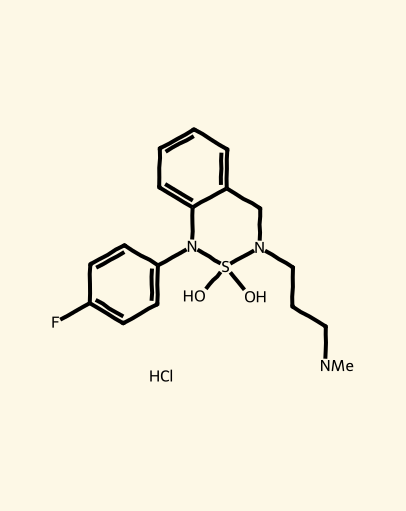 CNCCCN1Cc2ccccc2N(c2ccc(F)cc2)S1(O)O.Cl